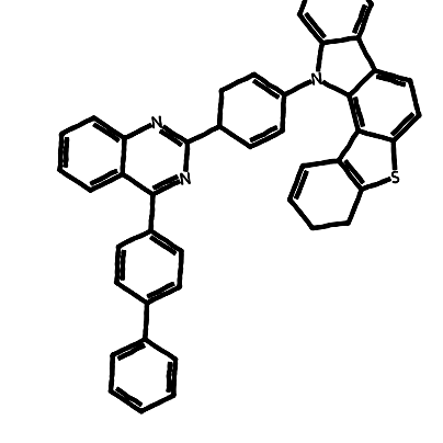 C1=Cc2c(sc3ccc4c5ccccc5n(C5=CCC(c6nc(-c7ccc(-c8ccccc8)cc7)c7ccccc7n6)C=C5)c4c23)CC1